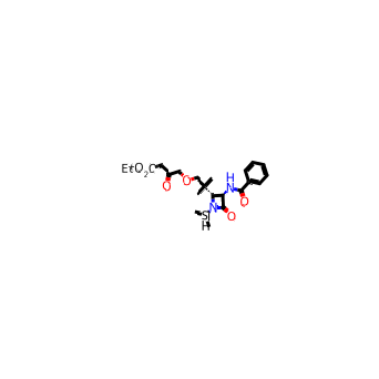 CCOC(=O)CC(=O)COCC(C)(C)[C@@H]1[C@@H](NC(=O)c2ccccc2)C(=O)N1[SiH](C)C